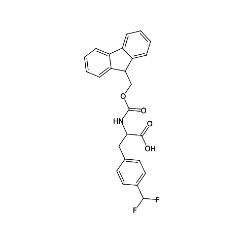 O=C(NC(Cc1ccc(C(F)F)cc1)C(=O)O)OCC1c2ccccc2-c2ccccc21